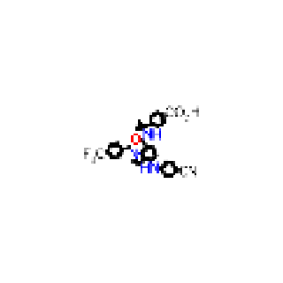 N#Cc1ccc(Nc2ccc(C(=O)NC3(c4ccc(C(=O)O)cc4)CC3)c3c2ccn3Cc2ccc(C(F)(F)F)cc2)cc1